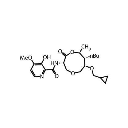 CCCC[C@H]1[C@H](C)OC(=O)[C@@H](NC(=O)c2nccc(OC)c2O)COC[C@@H]1OCC1CC1